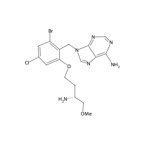 COC[C@H](N)CCOc1cc(Cl)cc(Br)c1Cn1cnc2c(N)ncnc21